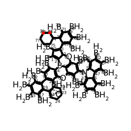 BC1=C2B3c4c(B)c(B)c(-c5c(B)c(B)c(B)c(B)c5C56CCC(CC5)CC6)c(B)c4Oc4c(B)c(-n5c6c(B)c(B)c(B)c(B)c6c6c(B)c(B)c(B)c(B)c65)c(B)c(c43)OC2C(c2c(B)c(B)c(B)c(B)c2C23CCC(CC2)CC3)=C1B